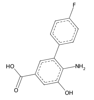 Nc1c(O)cc(C(=O)O)cc1-c1ccc(F)cc1